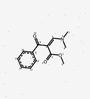 COC(=O)C(=CN(C)C)C(=O)c1ccccc1